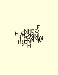 C=C1Nc2nc(-c3cn4ncnc4c(Cc4cc(F)cc(F)c4)n3)nc(N)c2C1(C)c1ccc(N)c(C)c1